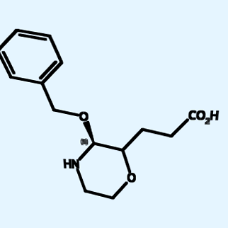 O=C(O)CCC1OCCN[C@H]1OCc1ccccc1